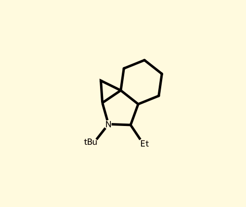 CCC1C2CCCCC23CC3N1C(C)(C)C